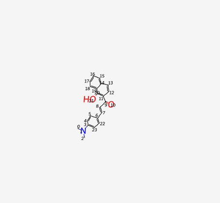 CN(C)c1ccc(/C=C/C(=O)c2ccc3ccccc3c2O)cc1